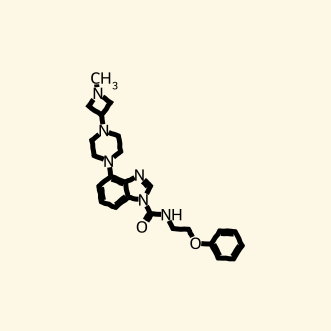 CN1CC(N2CCN(c3cccc4c3ncn4C(=O)NCCOc3ccccc3)CC2)C1